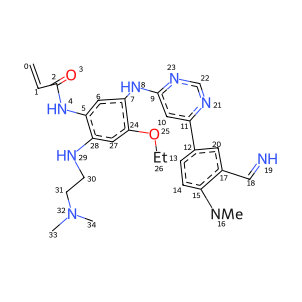 C=CC(=O)Nc1cc(Nc2cc(-c3ccc(NC)c(C=N)c3)ncn2)c(OCC)cc1NCCN(C)C